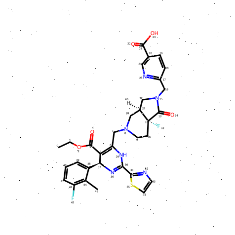 CCOC(=O)C1=C(CN2CC[C@]3(F)C(=O)N(Cc4ccc(C(=O)O)cn4)C[C@@H]3C2)NC(c2nccs2)=N[C@H]1c1cccc(F)c1C